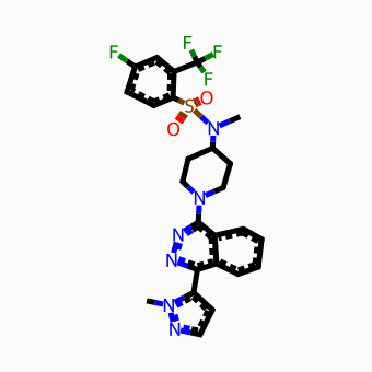 CN(C1CCN(c2nnc(-c3ccnn3C)c3ccccc23)CC1)S(=O)(=O)c1ccc(F)cc1C(F)(F)F